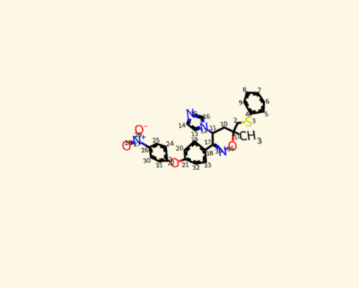 CC1(CSc2ccccc2)CC(n2ccnc2)C(c2ccc(Oc3ccc([N+](=O)[O-])cc3)cc2)=NO1